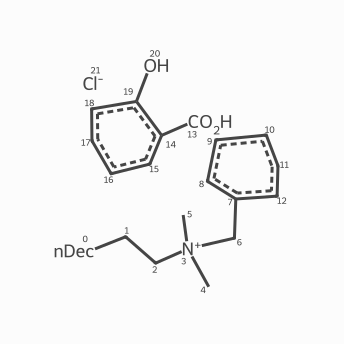 CCCCCCCCCCCC[N+](C)(C)Cc1ccccc1.O=C(O)c1ccccc1O.[Cl-]